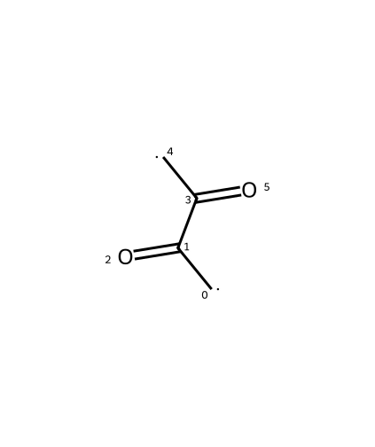 [CH2]C(=O)C([CH2])=O